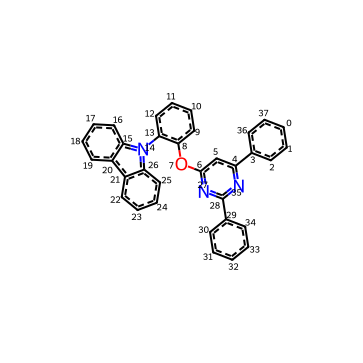 c1ccc(-c2cc(Oc3ccccc3-n3c4ccccc4c4ccccc43)nc(-c3ccccc3)n2)cc1